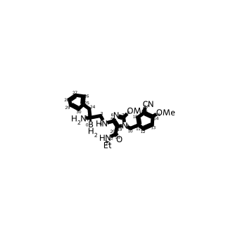 B[C@](N)(CNc1nc(OC)n(Cc2ccc(OC)c(C#N)c2)c1C(=O)NCC)Cc1ccccc1